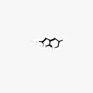 Cc1cc2c([nH]1)=NCC(Br)C=2